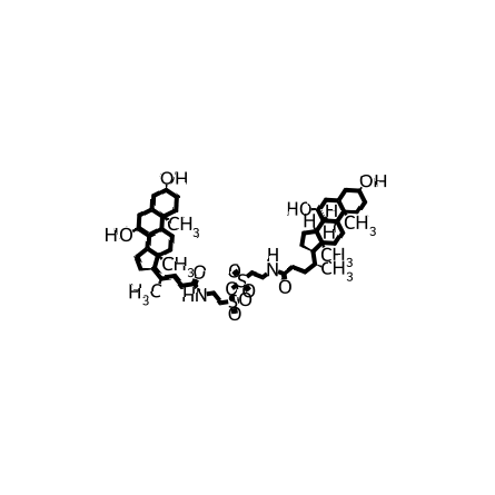 C[C@H](CCC(=O)NCCS(=O)(=O)OS(=O)(=O)CCNC(=O)CC[C@@H](C)[C@H]1CCC2C3C(CC[C@@]21C)[C@@]1(C)CC[C@@H](O)CC1C[C@@H]3O)[C@H]1CC[C@H]2[C@@H]3[C@@H](O)CC4C[C@H](O)CC[C@]4(C)[C@H]3CC[C@]12C